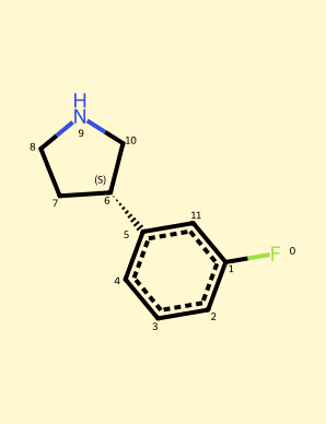 Fc1cccc([C@@H]2CCNC2)c1